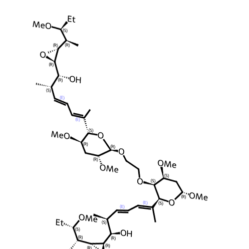 CC[C@H](OC)[C@@H](C)[C@H]1O[C@@H]1[C@H](O)[C@@H](C)/C=C/C=C(\C)[C@@H]1O[C@@H](OC)C[C@H](OC)[C@@H]1OCCO[C@@H]1O[C@@H](/C(C)=C/C=C/[C@H](C)[C@@H](O)[C@H]2O[C@@H]2[C@H](C)[C@H](CC)OC)[C@H](OC)C[C@H]1OC